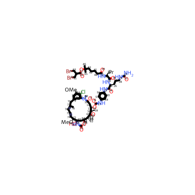 COc1cc2cc(c1Cl)N(C)C(=O)C[C@H](OC(=O)Nc1ccc(NC(=O)[C@H](CCCNC(N)=O)NC(=O)[C@@H](NC(=O)CCCCC(C)(C)OC(=O)C(CBr)CBr)C(C)C)cc1)[C@]1(C)O[C@H]1[C@H](C)[C@@H]1C[C@@](O)(NC(=O)O1)[C@H](OC)/C=C/C=C(\C)C2